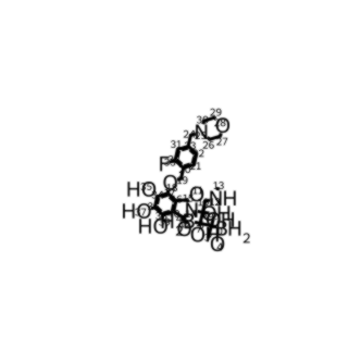 BC(O)(C=O)C(B)(O)C(O)(C(=O)NC)N1Cc2c(OCc3ccc(CN4CCOCC4)cc3F)c(O)c(O)c(O)c2C1=O